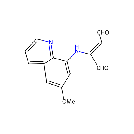 COc1cc(N/C(C=O)=C\C=O)c2ncccc2c1